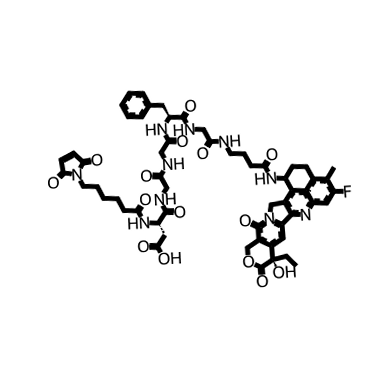 CC[C@@]1(O)C(=O)OCc2c1cc1n(c2=O)Cc2c-1nc1cc(F)c(C)c3c1c2C(NC(=O)CCCNC(=O)CNC(=O)[C@H](Cc1ccccc1)NC(=O)CNC(=O)CNC(=O)[C@H](CC(=O)O)NC(=O)CCCCCN1C(=O)C=CC1=O)CC3